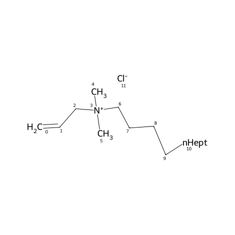 C=CC[N+](C)(C)CCCCCCCCCCC.[Cl-]